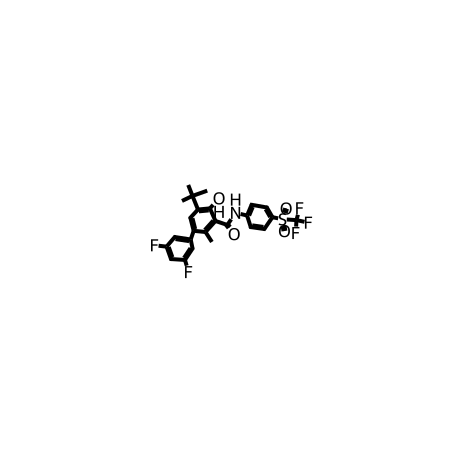 Cc1c(-c2cc(F)cc(F)c2)cc(C(C)(C)C)c(O)c1C(=O)Nc1ccc(S(=O)(=O)C(F)(F)F)cc1